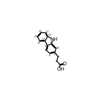 O=C(O)CCc1ccc2c(c1)[nH]c1ccccc12